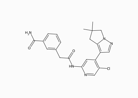 CC1(C)Cc2c(-c3cc(NC(=O)Cc4cccc(C(N)=O)c4)ncc3Cl)cnn2C1